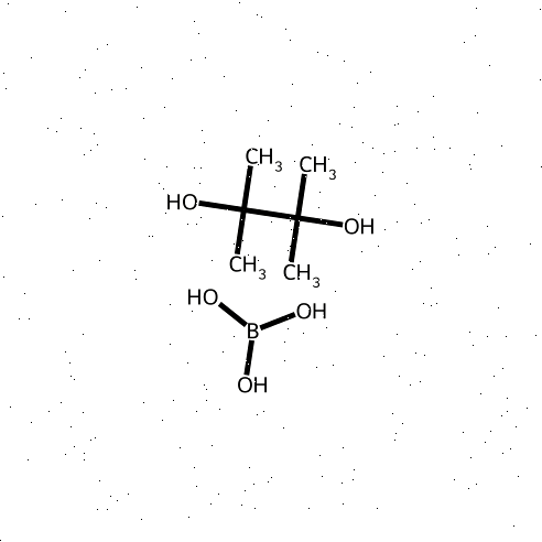 CC(C)(O)C(C)(C)O.OB(O)O